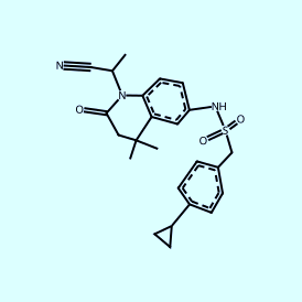 CC(C#N)N1C(=O)CC(C)(C)c2cc(NS(=O)(=O)Cc3ccc(C4CC4)cc3)ccc21